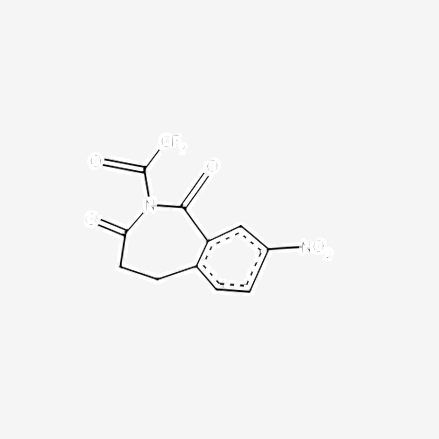 O=C1CCc2ccc([N+](=O)[O-])cc2C(=O)N1C(=O)C(F)(F)F